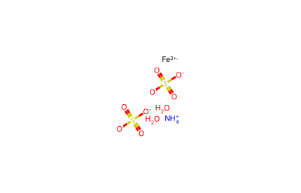 O.O.O=S(=O)([O-])[O-].O=S(=O)([O-])[O-].[Fe+3].[NH4+]